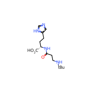 CC(C)(C)NCCC(=O)N[C@@H](CCc1cnc[nH]1)C(=O)O